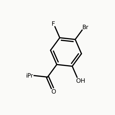 CC(C)C(=O)c1cc(F)c(Br)cc1O